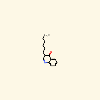 O=C(O)CCCCCC1C=Nc2ccccc2C1=O